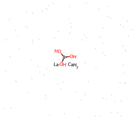 OB(O)O.[CaH2].[La]